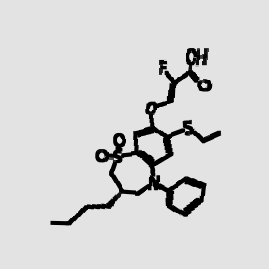 CCCC[C@@H]1CN(c2ccccc2)c2cc(SCC)c(O/C=C(\F)C(=O)O)cc2S(=O)(=O)C1